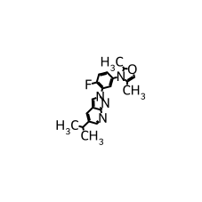 CC1=COC(C)N1c1ccc(F)c(-n2cc3cc(C(C)C)cnc3n2)c1